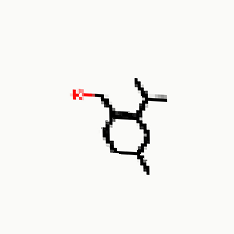 CC1CCC(CO)C(C(C)C)C1